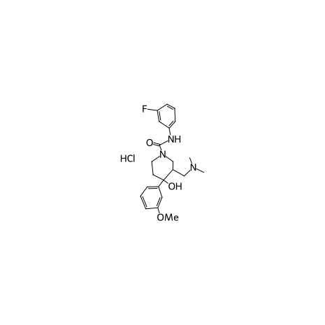 COc1cccc(C2(O)CCN(C(=O)Nc3cccc(F)c3)CC2CN(C)C)c1.Cl